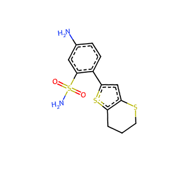 Nc1ccc(-c2cc3c(s2)CCCS3)c(S(N)(=O)=O)c1